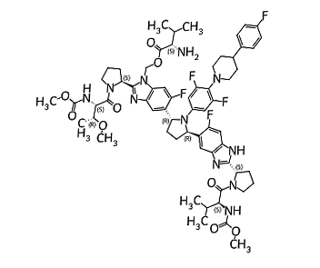 COC(=O)N[C@H](C(=O)N1CCC[C@H]1c1nc2cc([C@H]3CC[C@H](c4cc5nc([C@@H]6CCCN6C(=O)[C@@H](NC(=O)OC)[C@@H](C)OC)n(COC(=O)[C@@H](N)C(C)C)c5cc4F)N3c3cc(F)c(N4CCC(c5ccc(F)cc5)CC4)c(F)c3)c(F)cc2[nH]1)C(C)C